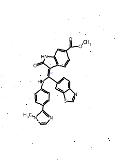 COC(=O)c1ccc2c(c1)NC(=O)/C2=C(\Nc1ccc(-c2nccn2C)cc1)c1ccc2ncsc2c1